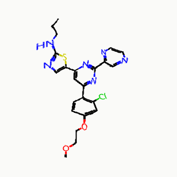 CCCNc1ncc(-c2cc(-c3ccc(OCCOC)cc3Cl)nc(-c3cnccn3)n2)s1